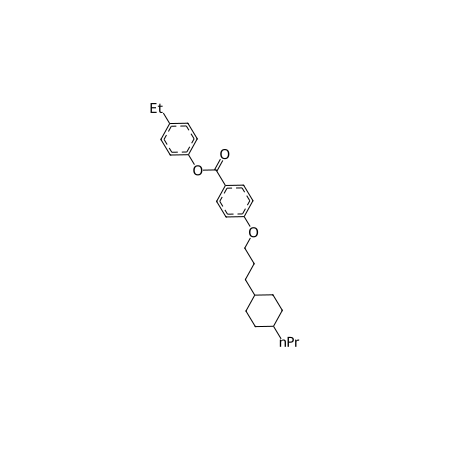 CCCC1CCC(CCCOc2ccc(C(=O)Oc3ccc(CC)cc3)cc2)CC1